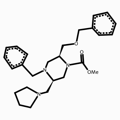 COC(=O)N1C[C@@H](CN2CCCC2)N(Cc2ccccc2)C[C@H]1COCc1ccccc1